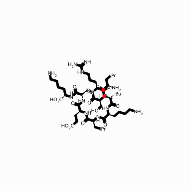 CC[C@H](C)[C@H](NC(=O)[C@H](CCC(=O)O)NC(=O)[C@H](CC(C)C)NC(=O)[C@H](CCCCN)NC(=O)[C@@H](NC(=O)[C@H](CCCNC(=N)N)NC(=O)[C@H](CO)NC(=O)[C@@H](N)CC(C)C)[C@@H](C)CC)C(=O)N[C@@H](CCCCN)C(=O)O